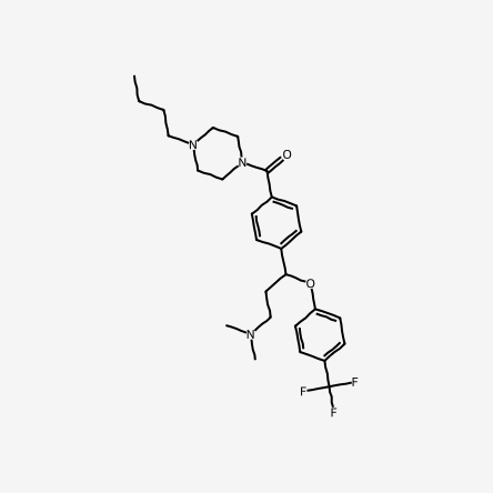 CCCCN1CCN(C(=O)c2ccc(C(CCN(C)C)Oc3ccc(C(F)(F)F)cc3)cc2)CC1